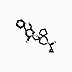 O=Cc1cn(CC2(O)CCN(C(=O)C3CC3)CC23CCCC3)c(=O)cc1-c1ccccc1